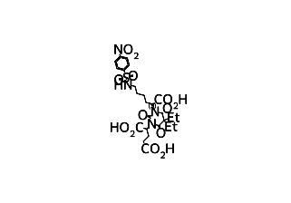 CCC1(CC)C(=O)N(C(CCC(=O)O)C(=O)O)C(=O)N([C@@H](CCCCNS(=O)(=O)c2ccc([N+](=O)[O-])cc2)C(=O)O)C1=O